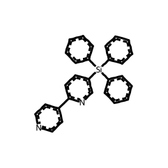 c1ccc([Si](c2ccccc2)(c2ccccc2)c2ccc(-c3ccncc3)nc2)cc1